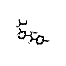 CCC(C)Nc1cc(C(NCl)C(=O)c2ccc(F)cc2)ccn1